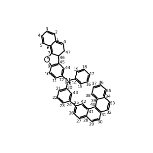 C1=c2ccccc2=C2Oc3ccc(N(c4ccccc4)c4cccc(-c5ccc6ccc7ccc8ccccc8c7c6c5)c4)cc3C2C1